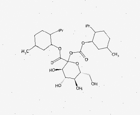 CC1CCC(C(C)C)C(OC(=O)OC2(C(=O)OC3CC(C)CCC3C(C)C)O[C@H](CO)[C@@H](O)[C@H](O)[C@H]2O)C1